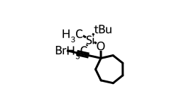 CC(C)(C)[Si](C)(C)OC1(C#CBr)CCCCCC1